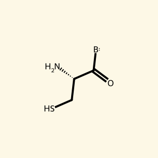 [B]C(=O)[C@@H](N)CS